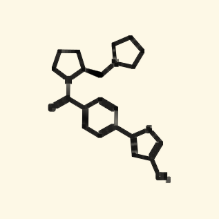 Cc1csc(-c2ccc(C(=O)N3CCC[C@H]3CN3CCCC3)cc2)c1